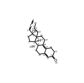 C=C=C[C@]1(O)CC[C@H]2[C@@H]3CCC4=CC(=O)CCC4=C3CCC21CCC